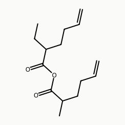 C=CCCC(C)C(=O)OC(=O)C(CC)CCC=C